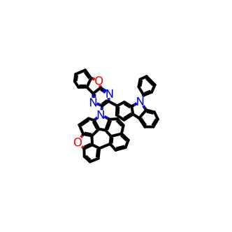 c1ccc(-n2c3ccccc3c3ccc(-c4nc5oc6ccccc6c5nc4-n4c5ccc6cccc7c6c5c5c6c(ccc54)oc4cccc-7c46)cc32)cc1